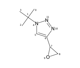 CC(C)(C)n1cc(C2CO2)nn1